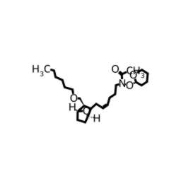 CCCCCCOC[C@H]1C(C/C=C\CCCN(O[C@@H]2CCCCO2)C(C)=O)[C@H]2CC[C@@H]1O2